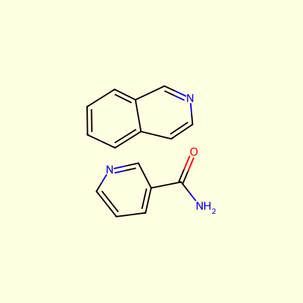 NC(=O)c1cccnc1.c1ccc2cnccc2c1